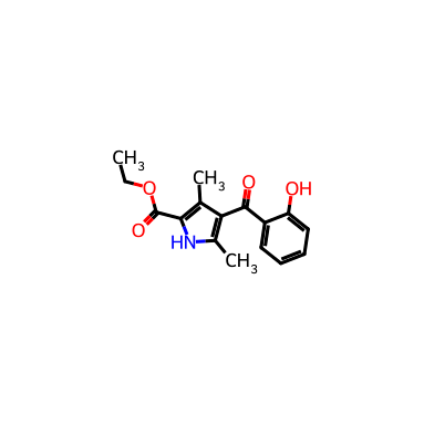 CCOC(=O)c1[nH]c(C)c(C(=O)c2ccccc2O)c1C